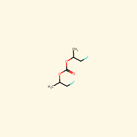 CC(CF)OC(=O)OC(C)CF